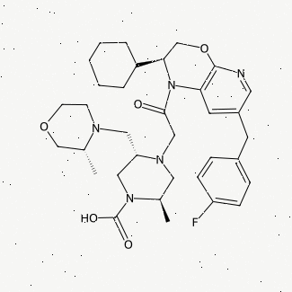 C[C@@H]1COCCN1C[C@H]1CN(C(=O)O)[C@H](C)CN1CC(=O)N1c2cc(Cc3ccc(F)cc3)cnc2OC[C@@H]1C1CCCCC1